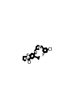 O=C(c1cc(C2CC2)c(OCC2CCN(Cc3cc(F)cc(Cl)c3)C2)cc1F)N1CCCC1